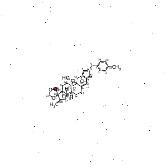 Cc1ccc(Cn2cc3c(n2)C=C2CC[C@H]4[C@@H]5C[C@@H](C)[C@@]6(OCOC67COCO7)[C@@]5(C)C[C@H](O)[C@]4(Cl)[C@@]2(C)C3)cc1